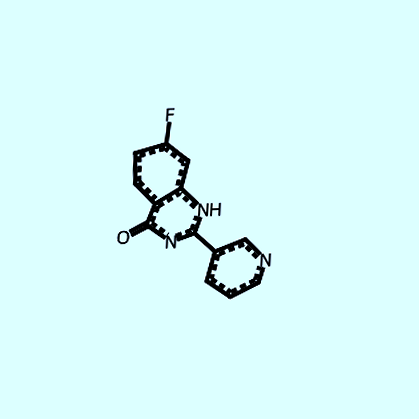 O=c1nc(-c2cccnc2)[nH]c2cc(F)ccc12